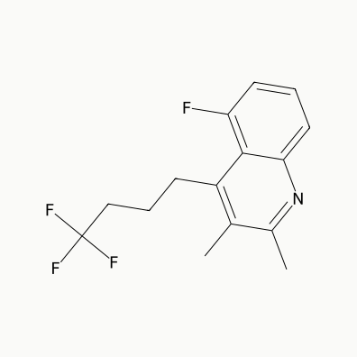 Cc1nc2cccc(F)c2c(CCCC(F)(F)F)c1C